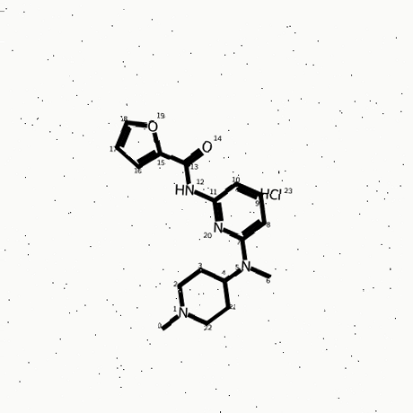 CN1CCC(N(C)c2cccc(NC(=O)c3ccco3)n2)CC1.Cl